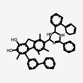 Cc1c(C)c(C2N=C(c3ccccc3)NC(c3ccccc3C3=CC=CCC3)N2)c(C)c2c1-c1c(c(O)c(O)c(C)c1-c1cccc(-c3ccccc3)c1)C2